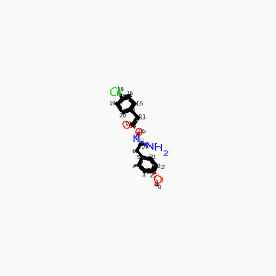 COc1ccc(C/C(N)=N/OC(=O)Cc2ccc(Cl)cc2)cc1